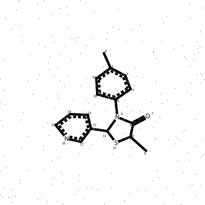 Cc1ccc(N2C(=O)C(C)SC2c2cccnc2)cc1